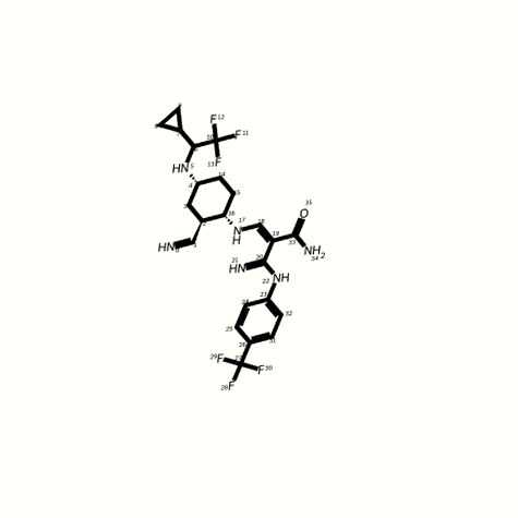 N=C[C@H]1C[C@H](NC(C2CC2)C(F)(F)F)CC[C@@H]1N/C=C(\C(=N)Nc1ccc(C(F)(F)F)cc1)C(N)=O